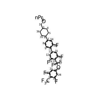 CCCOCC1CCC(c2ccc(-c3cc(F)c(C(F)(F)Oc4cc(F)c(C(F)(F)F)c(F)c4)c(F)c3)c(F)c2)CC1